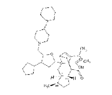 CC(C)C1=CC2CC3(C=O)[C@@H]4CC[C@@H](C)[C@H]4CC2(C2CC(C4CCCC4)C(CN4CCC(N5CCCCC5)CC4)O2)C13C(=O)O